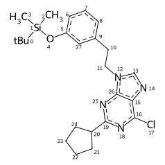 CC(C)(C)[Si](C)(C)Oc1cccc(CCn2cnc3c(Cl)nc(C4CCCC4)nc32)c1